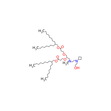 CCCCCCCCC(CCCCCCCC)COC(=O)CCOCC(CN(C)CCN(CCO)C1CCC1)OCCC(=O)OCC(CCCCCCCC)CCCCCCCC